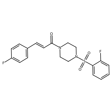 O=C(/C=C/c1ccc(F)cc1)N1CCN(S(=O)(=O)c2ccccc2F)CC1